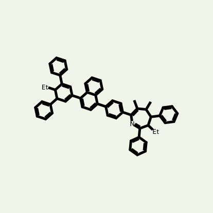 CCC1C(c2ccccc2)=CC(c2ccc(-c3ccc(C4=C(C)C(C)C(c5ccccc5)C(CC)C(c5ccccc5)=N4)cc3)c3ccccc23)=CC1c1ccccc1